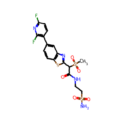 CS(=O)(=O)C(C(=O)NCCS(N)(=O)=O)c1nc2cc(-c3ccc(F)nc3F)ccc2s1